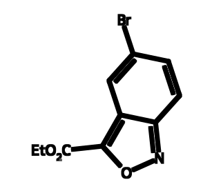 CCOC(=O)c1onc2ccc(Br)cc12